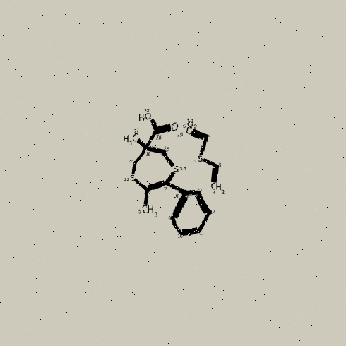 C=CSC=C.CC1=C(c2ccccc2)SCC(C)(C(=O)O)CS1